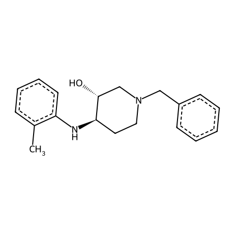 Cc1ccccc1N[C@@H]1CCN(Cc2ccccc2)C[C@H]1O